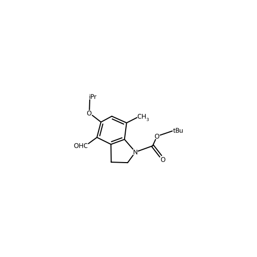 Cc1cc(OC(C)C)c(C=O)c2c1N(C(=O)OC(C)(C)C)CC2